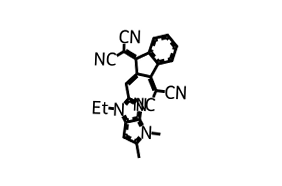 CCn1c(C=C2C(=C(C#N)C#N)c3ccccc3C2=C(C#N)C#N)nc2c1cc(C)n2C